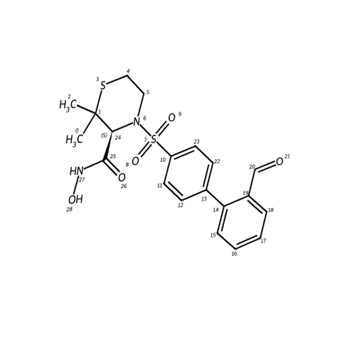 CC1(C)SCCN(S(=O)(=O)c2ccc(-c3ccccc3C=O)cc2)[C@H]1C(=O)NO